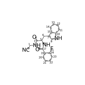 N#CCNC(=O)C(Cc1c[nH]c2ccccc12)NC(=O)c1ccccc1F